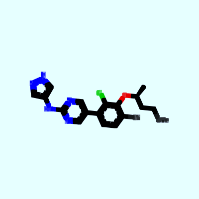 COCC[C@H](C)Oc1c(C#N)ccc(-c2cnc(Nc3cn[nH]c3)nc2)c1Cl